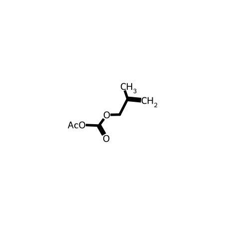 C=C(C)COC(=O)OC(C)=O